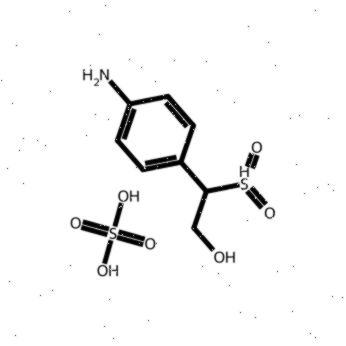 Nc1ccc(C(CO)[SH](=O)=O)cc1.O=S(=O)(O)O